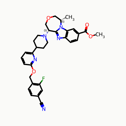 COC(=O)c1ccc2nc3n(c2c1)[C@@H](C)COC[C@H]3N1CCC(c2cccc(OCc3ccc(C#N)cc3F)n2)CC1